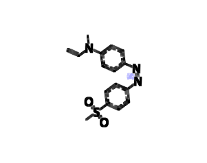 C=CN(C)c1ccc(/N=N\c2ccc(S(C)(=O)=O)cc2)cc1